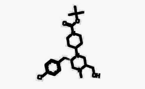 CN1C[C@H](Cc2ccc(Cl)cc2)N(C2CCN(C(=O)OC(C)(C)C)CC2)CC1CO